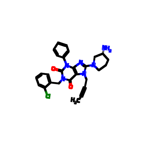 CC#CCn1c(N2CCC[C@@H](N)C2)nc2c1c(=O)n(Cc1ccccc1Cl)c(=O)n2-c1ccccc1